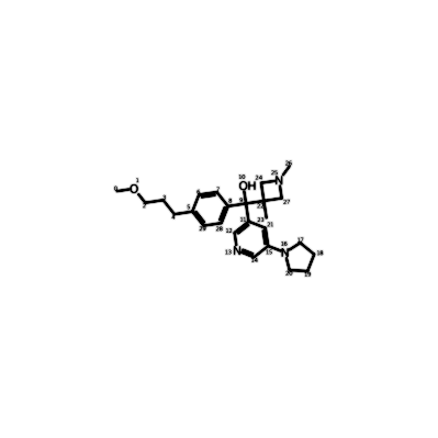 COCCCc1ccc(C(O)(c2cncc(N3CCCC3)c2)C2(C)CN(C)C2)cc1